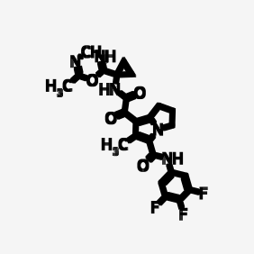 C/N=C(/C)OC(=N)C1(NC(=O)C(=O)c2c(C)c(C(=O)Nc3cc(F)c(F)c(F)c3)n3c2CCC3)CC1